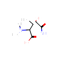 CCC(C(=O)O)N(C)C.NC(=O)CO